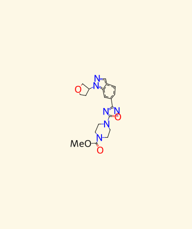 COC(=O)N1CCN(c2nc(-c3ccc4cnn(C5CCOC5)c4c3)no2)CC1